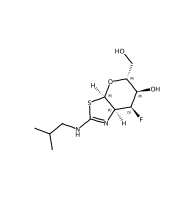 CC(C)CNC1=N[C@@H]2[C@H](F)[C@H](O)[C@@H](CO)O[C@@H]2S1